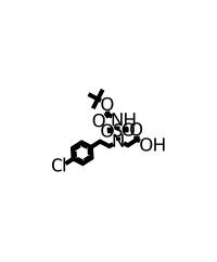 CC(C)(C)OC(=O)NS(=O)(=O)N(CCc1ccc(Cl)cc1)CC(=O)O